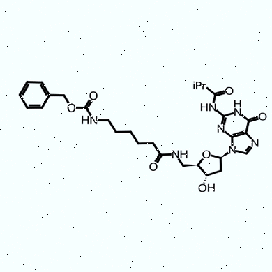 CC(C)C(=O)Nc1nc2c(ncn2[C@H]2C[C@H](O)[C@@H](CNC(=O)CCCCCNC(=O)OCc3ccccc3)O2)c(=O)[nH]1